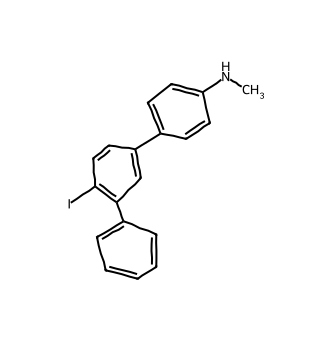 CNc1ccc(-c2ccc(I)c(-c3ccccc3)c2)cc1